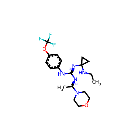 CCNC1(/N=C(\N=C(/C)N2CCOCC2)Nc2ccc(OC(F)(F)F)cc2)CC1